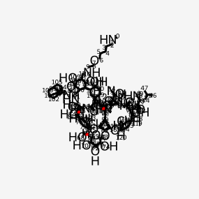 CNCCCCCOCCNCC1[C@H](O)C2C3C[C@H](CC[C@H]3O)[C@H]3NC(=O)[C@@H]4NC(=O)[C@H](CC(N)=O)NC(=O)[C@H](NC(=O)[C@@H](CC(C)C)NC)[C@H](O)[C@H]5CC[C@@H](Oc6cc4cc(c6O[C@@H]4O[C@H](CO)[C@@H](O)[C@H](O)[C@H]4O)O[C@@H]4CC[C@@H](C[C@@H]4Cl)[C@@H](O)[C@H](NC3=O)C(=O)N[C@H](C(=O)NC3C4CC6CC(C4)CC3C6)C2C[C@@H]1O)[C@H](Cl)C5